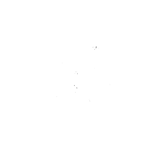 C=CC(=O)N(C)C(=O)COC